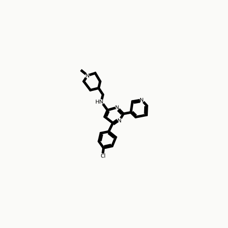 CN1CCC(CNc2cc(-c3ccc(Cl)cc3)nc(-c3cccnc3)n2)CC1